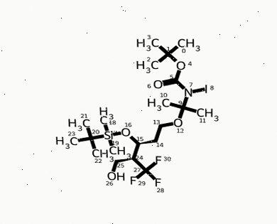 CC(C)(C)OC(=O)N(I)C(C)(C)OCC[C@H](O[Si](C)(C)C(C)(C)C)[C@H](CO)C(F)(F)F